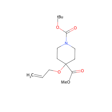 C=CCOC1(C(=O)OC)CCN(C(=O)OC(C)(C)C)CC1